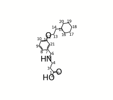 O=C(O)CCNCc1cccc(OCCC2CCCCC2)c1